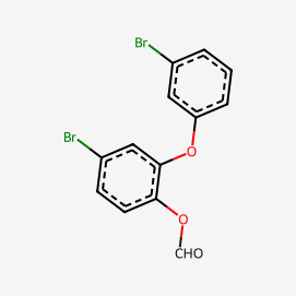 O=COc1ccc(Br)cc1Oc1cccc(Br)c1